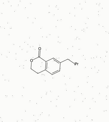 CC(C)Cc1ccc2c(c1)C(=O)OCC2